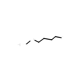 FCCCCO[SiH3]